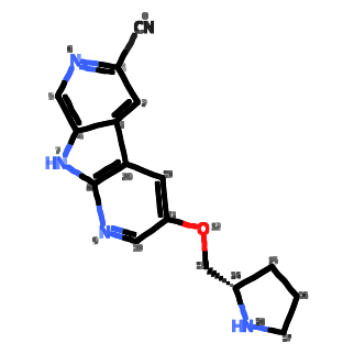 N#Cc1cc2c(cn1)[nH]c1ncc(OC[C@@H]3CCCN3)cc12